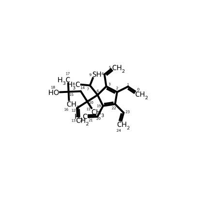 C=CC1=C(C=C)C(C(C)S)(C(C)(C=C)CC(C)(C)O)C(C=C)=C1C=C